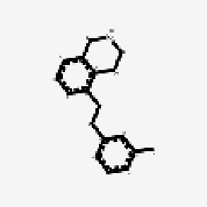 Cc1cccc(CCc2cccc3c2CC[N]C3)c1